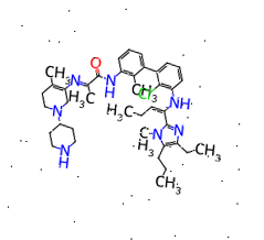 CC/C=C(/Nc1cccc(-c2cccc(NC(=O)/C(C)=N/C3=C(C)CCN(C4CCNCC4)C3)c2C)c1Cl)c1nc(CC)c(CCC)n1C